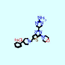 Nc1ncc(-c2nc(N3CCOCC3)c3sc(CN4CCC(O)(c5ccccc5)CC4)cc3n2)cn1